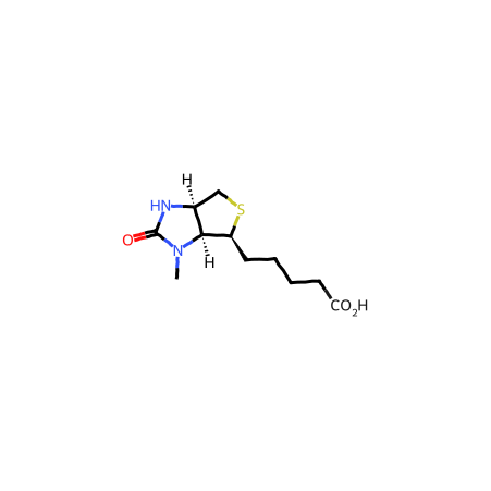 CN1C(=O)N[C@H]2CS[C@@H](CCCCC(=O)O)[C@H]21